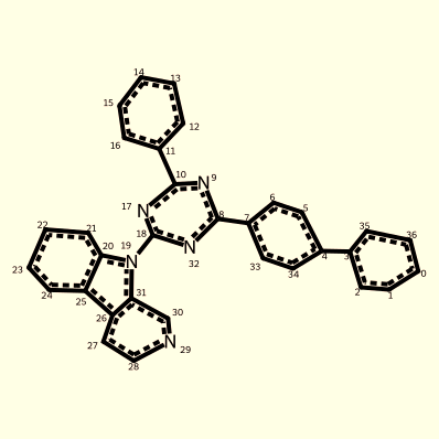 c1ccc(-c2ccc(-c3nc(-c4ccccc4)nc(-n4c5ccccc5c5ccncc54)n3)cc2)cc1